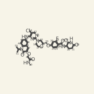 CNC(=O)COc1cc2cc(Nc3nc(N4CCO[C@H](COc5ccc(C(=O)NC6CCC(=O)NC6=O)c(F)c5)C4)ncc3Cl)ccc2n(C(C)C)c1=O